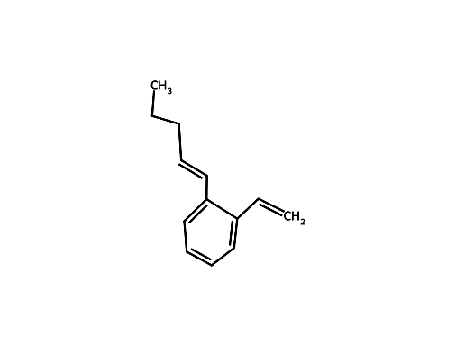 C=Cc1ccccc1C=CCCC